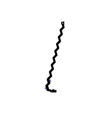 CCCC/C=C\C=C\CCCCCCCCCCCCCCCCl